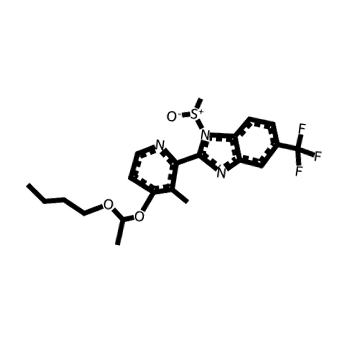 CCCCOC(C)Oc1ccnc(-c2nc3cc(C(F)(F)F)ccc3n2[S+](C)[O-])c1C